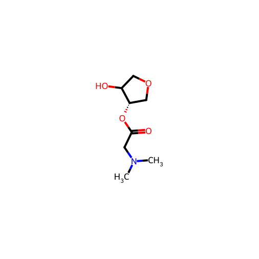 CN(C)CC(=O)O[C@H]1COCC1O